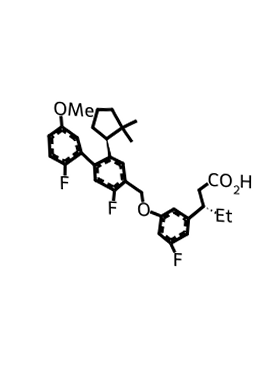 CC[C@@H](CC(=O)O)c1cc(F)cc(OCc2cc([C@H]3CCCC3(C)C)c(-c3cc(OC)ccc3F)cc2F)c1